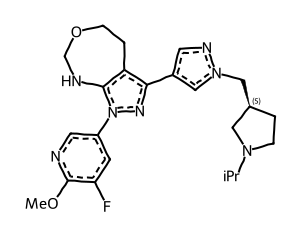 COc1ncc(-n2nc(-c3cnn(C[C@H]4CCN(C(C)C)C4)c3)c3c2NCOCC3)cc1F